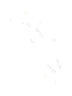 C[C@]12CC[C@](C)(C1)[C@H](F)[C@H](N(c1cnc(-c3ccc(-c4nnn(C(S)(S)S)n4)cc3O)nn1)C(S)(S)S)C2